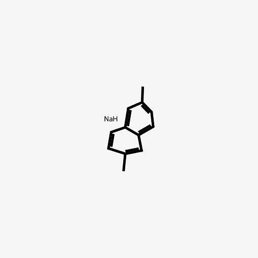 Cc1ccc2cc(C)ccc2c1.[NaH]